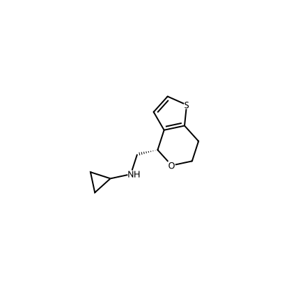 c1cc2c(s1)CCO[C@@H]2CNC1CC1